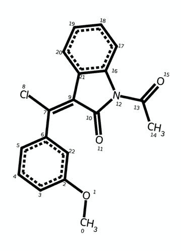 COc1cccc(C(Cl)=C2C(=O)N(C(C)=O)c3ccccc32)c1